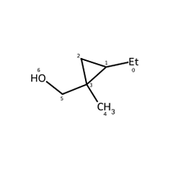 CCC1CC1(C)CO